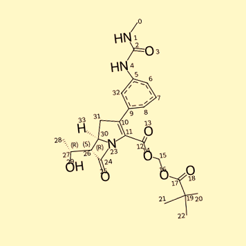 CNC(=O)Nc1cccc(C2=C(C(=O)OCOC(=O)C(C)(C)C)N3C(=O)[C@H]([C@@H](C)O)[C@H]3C2)c1